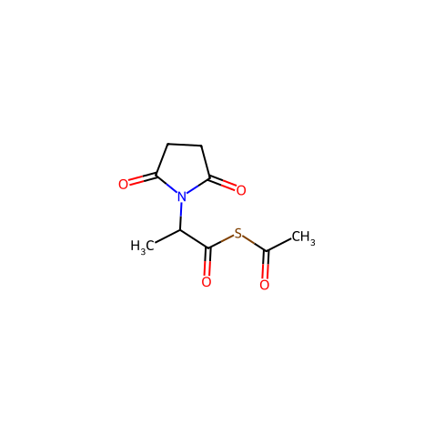 CC(=O)SC(=O)C(C)N1C(=O)CCC1=O